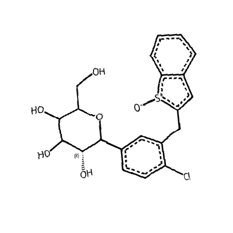 [O-][s+]1c(Cc2cc(C3OC(CO)C(O)C(O)[C@H]3O)ccc2Cl)cc2ccccc21